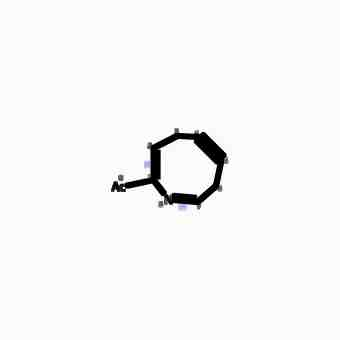 CC(=O)C1=C/CC#CC/C=N\1